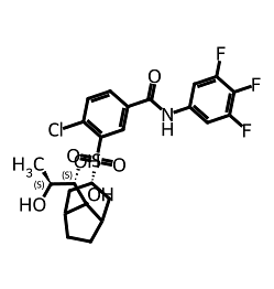 C[C@H](O)[C@H](O)[C@]1(O)C2CCC1C[C@@H](S(=O)(=O)c1cc(C(=O)Nc3cc(F)c(F)c(F)c3)ccc1Cl)C2